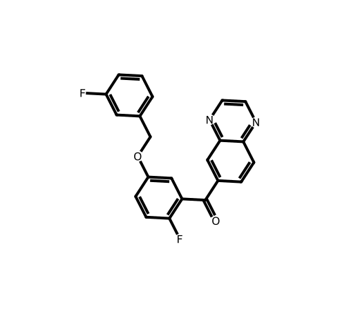 O=C(c1ccc2nccnc2c1)c1cc(OCc2cccc(F)c2)ccc1F